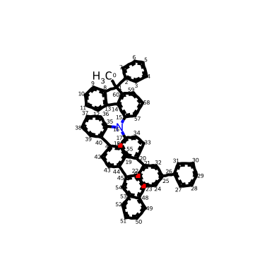 CC1(c2ccccc2)c2ccccc2-c2c(N(c3ccc(-c4cccc(-c5ccccc5)c4)cc3)c3ccccc3-c3ccc(-c4ccc5ccccc5c4)cc3)cccc21